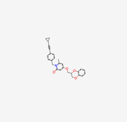 Cc1cc(OCC2COc3ccccc3O2)cc(=O)n1Cc1ccc(C#CC2CC2)cc1